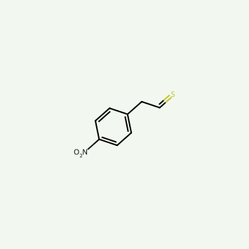 O=[N+]([O-])c1ccc(CC=S)cc1